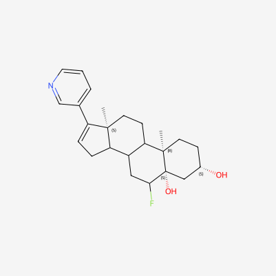 C[C@]12CCC3C(CC(F)[C@]4(O)C[C@@H](O)CC[C@]34C)C1CC=C2c1cccnc1